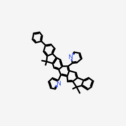 CC1(C)c2ccccc2-c2cc3c(-c4ccccn4)c4cc5c(cc4c(-c4ccccn4)c3cc21)C(C)(C)c1cc(-c2ccccc2)ccc1-5